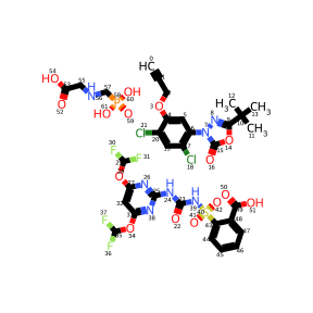 C#CCOc1cc(-n2nc(C(C)(C)C)oc2=O)c(Cl)cc1Cl.O=C(Nc1nc(OC(F)F)cc(OC(F)F)n1)NS(=O)(=O)c1ccccc1C(=O)O.O=C(O)CNCP(=O)(O)O